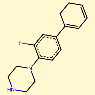 Fc1cc(C2=CC=CCC2)ccc1N1CCNCC1